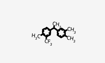 Cc1ccc(C(C)c2ccc(C)c(C(F)(F)F)c2)cc1C